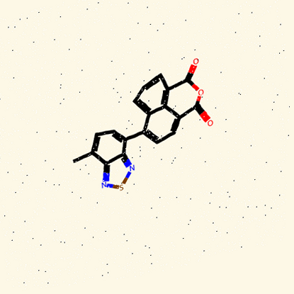 Cc1ccc(-c2ccc3c4c(cccc24)C(=O)OC3=O)c2nsnc12